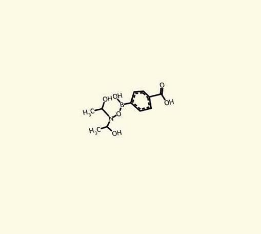 CC(O)N(OB(O)c1ccc(C(=O)O)cc1)C(C)O